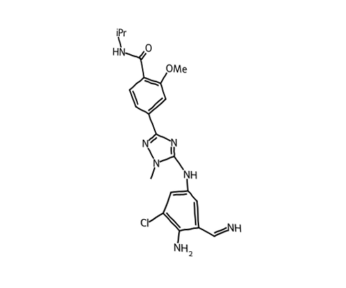 COc1cc(-c2nc(Nc3cc(Cl)c(N)c(C=N)c3)n(C)n2)ccc1C(=O)NC(C)C